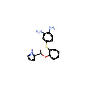 CC(Oc1ccccc1Sc1ccc(N)c(N)c1)c1ccc[nH]1